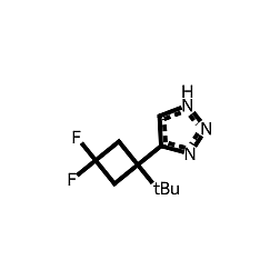 CC(C)(C)C1(c2c[nH]nn2)CC(F)(F)C1